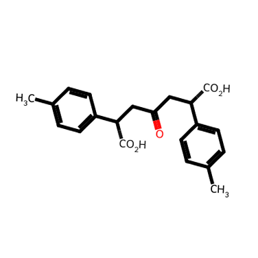 Cc1ccc(C(CC(=O)CC(C(=O)O)c2ccc(C)cc2)C(=O)O)cc1